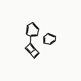 [c]1ccccc1.c1ccc(-c2cc3ccc2-3)cc1